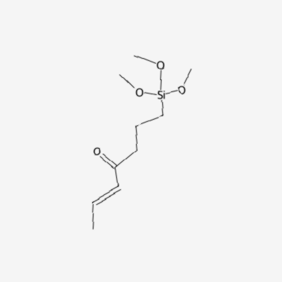 CC=CC(=O)CCC[Si](OC)(OC)OC